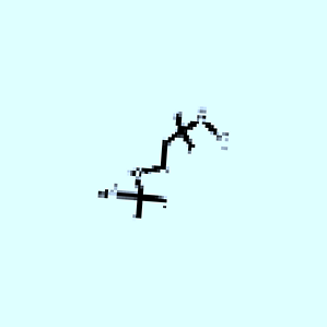 CCCC(C)(C)OCCC(C)(C)OCC